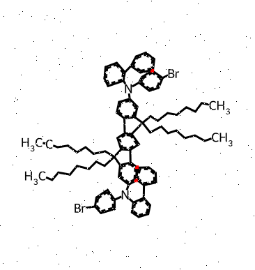 CCCCCCCCC1(CCCCCCCC)c2cc(N(c3ccc(Br)cc3)c3ccccc3-c3ccccc3)ccc2-c2cc3c(cc21)-c1ccc(N(c2ccc(Br)cc2)c2ccccc2-c2ccccc2)cc1C3(CCCCCCCC)CCCCCCCC